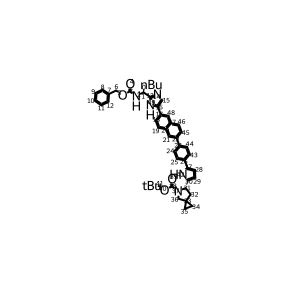 CCCC[C@H](NC(=O)OCc1ccccc1)c1ncc(-c2ccc3cc(-c4ccc(-c5ccc([C@@H]6CC7(CC7)CN6C(=O)OC(C)(C)C)[nH]5)cc4)ccc3c2)[nH]1